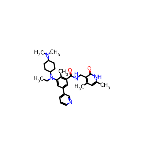 CCN(c1cc(-c2cccnc2)cc(C(=O)NCc2c(C)cc(C)[nH]c2=O)c1C)C1CCC(N(C)C)CC1